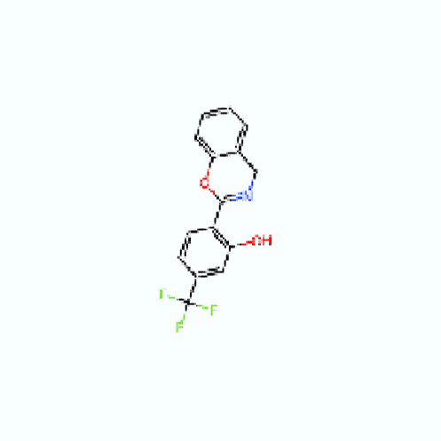 Oc1cc(C(F)(F)F)ccc1C1=NCc2ccccc2O1